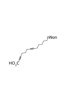 CCCCCCCCCCCCCCC#CCCCC#CC(=O)O